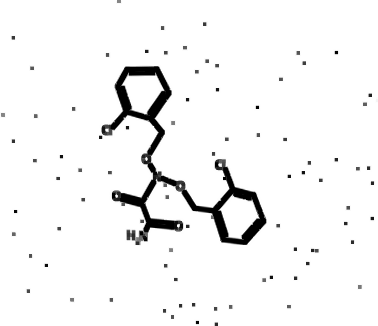 NC(=O)C(=O)N(OCc1ccccc1Cl)OCc1ccccc1Cl